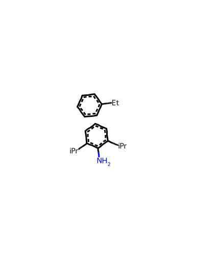 CC(C)c1cccc(C(C)C)c1N.CCc1ccccc1